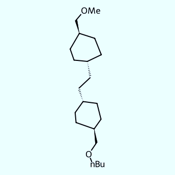 CCCCOC[C@H]1CC[C@H](CC[C@H]2CC[C@H](COC)CC2)CC1